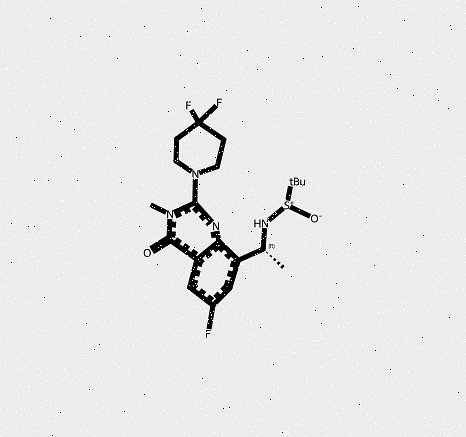 C[C@@H](N[S+]([O-])C(C)(C)C)c1cc(F)cc2c(=O)n(C)c(N3CCC(F)(F)CC3)nc12